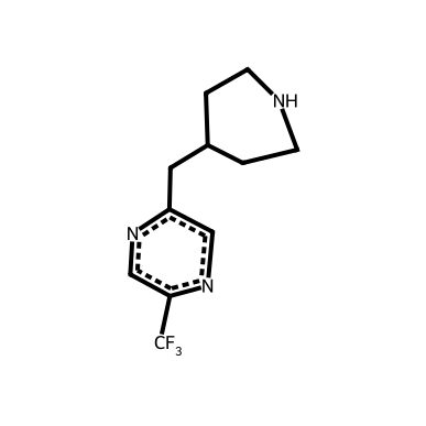 FC(F)(F)c1cnc(CC2CCNCC2)cn1